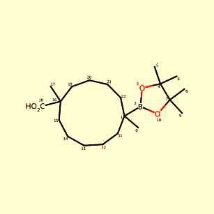 CC1(B2OC(C)(C)C(C)(C)O2)CCCCCC(C)(C(=O)O)CCCC1